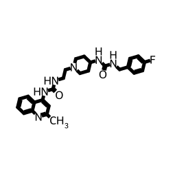 Cc1cc(NC(=O)NCCN2CCC(NC(=O)NCc3ccc(F)cc3)CC2)c2ccccc2n1